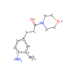 Nc1ccc(CCC(=O)N2CCOCC2)cc1[N+](=O)[O-]